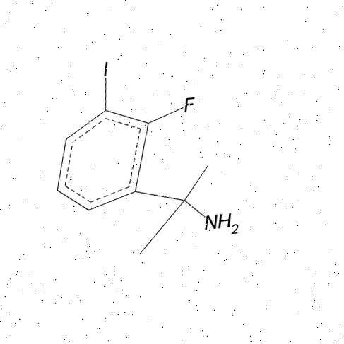 CC(C)(N)c1cccc(I)c1F